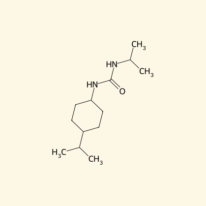 CC(C)NC(=O)NC1CCC(C(C)C)CC1